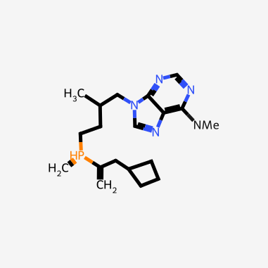 C=C(CC1CCC1)[PH](=C)CCC(C)Cn1cnc2c(NC)ncnc21